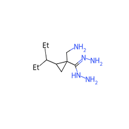 CCC(CC)C1CC1(CN)/C(=N/N)NN